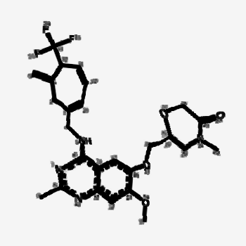 C=C1CC(CNc2nc(C)nc3cc(OC)c(OC[C@@H]4CN(C)C(=O)CO4)cc23)=CC=CC1C(F)(F)F